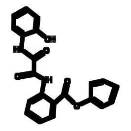 O=C(Nc1ccccc1O)C(=O)Nc1ccccc1C(=O)Oc1ccccc1